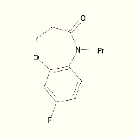 CC(C)N1C(=O)CCOc2cc(F)ccc21